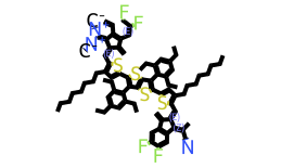 [C-]#[N+]C([N+]#[C-])=C1C(C=C)=C(/C=C(/F)CF)C(=C)/C1=C\c1sc(-c2sc3c(-c4c(CC)cc(CC)cc4CC)c(-c4cc(CCCCCCCC)c(/C=C5\C(=C)c6cc(F)c(F)cc6\C5=C(\C)C#N)s4)sc3c2-c2c(CC)cc(CC)cc2CC)cc1CCCCCCCC